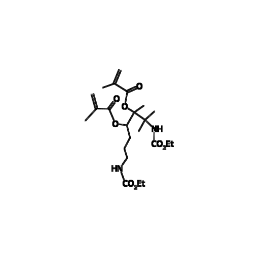 C=C(C)C(=O)OC(CCCNC(=O)OCC)C(C)(OC(=O)C(=C)C)C(C)(C)NC(=O)OCC